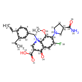 C=Cc1ccc(Cn2cc(C(=O)O)c(=O)c3cc(F)c(N4CC[C@@H](C(N)=O)C4)c(OC)c32)cc1C=C